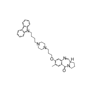 Cc1cc2c(cc1OCCCN1CCN(CCCCn3c4ccccc4c4ccccc43)CC1)N=C[C@@H]1CCCN1C2=O